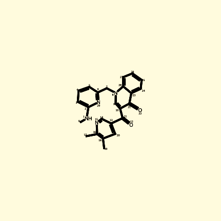 CNc1cccc(Cn2cc(C(=O)c3cnc(C)c(C)c3)c(=O)c3ccccc32)n1